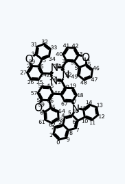 c1ccc2cc3c(cc2c1)c1ccccc1n3-c1ccc(-c2nc(-c3cccc4oc5ccccc5c34)nc(-c3cccc4oc5ccccc5c34)n2)c(-c2cccc3oc4ccccc4c23)c1